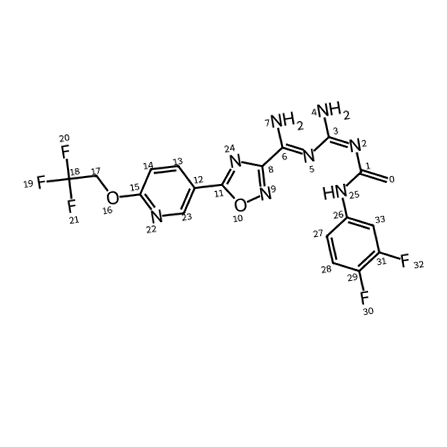 C=C(/N=C(N)\N=C(/N)c1noc(-c2ccc(OCC(F)(F)F)nc2)n1)Nc1ccc(F)c(F)c1